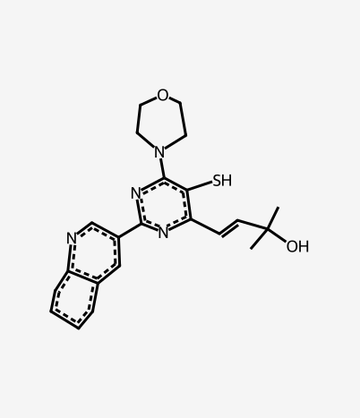 CC(C)(O)/C=C/c1nc(-c2cnc3ccccc3c2)nc(N2CCOCC2)c1S